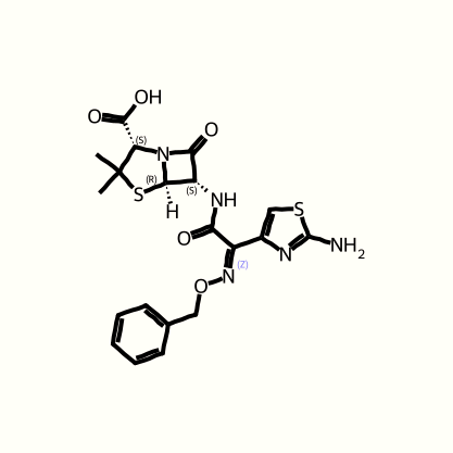 CC1(C)S[C@@H]2[C@@H](NC(=O)/C(=N\OCc3ccccc3)c3csc(N)n3)C(=O)N2[C@H]1C(=O)O